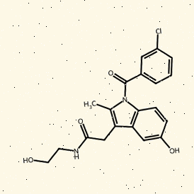 Cc1c(CC(=O)NCCO)c2cc(O)ccc2n1C(=O)c1cccc(Cl)c1